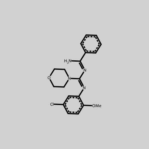 COc1ccc(Cl)cc1/N=C(/N=C(\N)c1ccccc1)N1CCOCC1